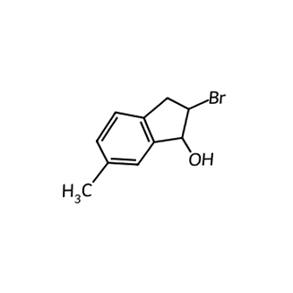 Cc1ccc2c(c1)C(O)C(Br)C2